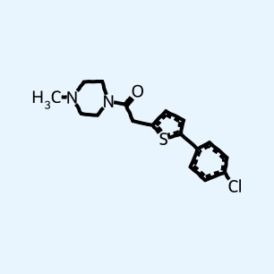 CN1CCN(C(=O)Cc2ccc(-c3ccc(Cl)cc3)s2)CC1